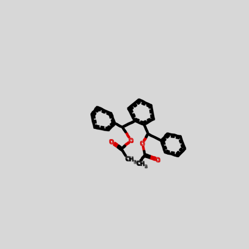 CC(=O)OC(c1ccccc1)c1ccccc1C(OC(C)=O)c1ccccc1